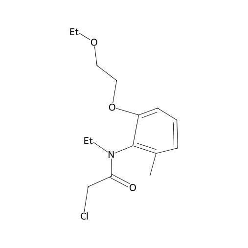 CCOCCOc1cccc(C)c1N(CC)C(=O)CCl